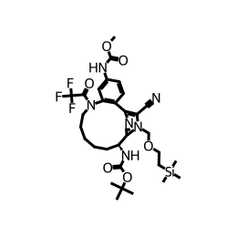 COC(=O)Nc1ccc2c(c1)N(C(=O)C(F)(F)F)CCCCC[C@H](NC(=O)OC(C)(C)C)c1nc-2c(C#N)n1COCC[Si](C)(C)C